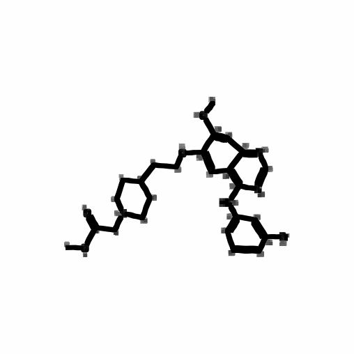 COC(=O)CN1CCC(CCOc2cc3c(Nc4cccc(Br)c4)ncnc3cc2OC)CC1